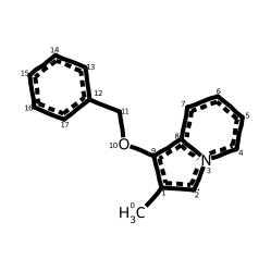 Cc1[c]n2ccccc2c1OCc1ccccc1